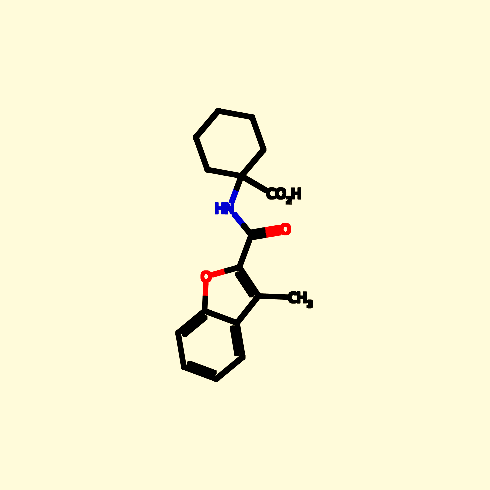 Cc1c(C(=O)NC2(C(=O)O)CCCCC2)oc2ccccc12